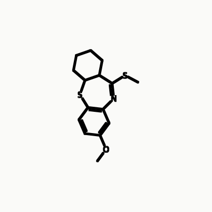 COc1ccc2c(c1)N=C(SC)C1CCCCC1S2